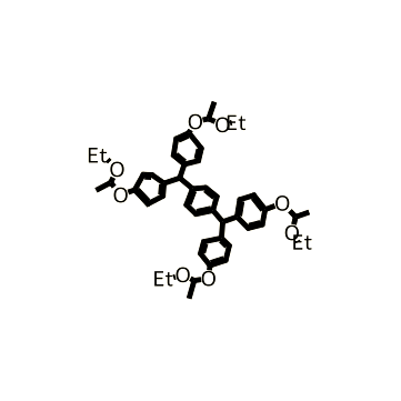 CCOC(C)Oc1ccc(C(c2ccc(OC(C)OCC)cc2)c2ccc(C(c3ccc(OC(C)OCC)cc3)c3ccc(OC(C)OCC)cc3)cc2)cc1